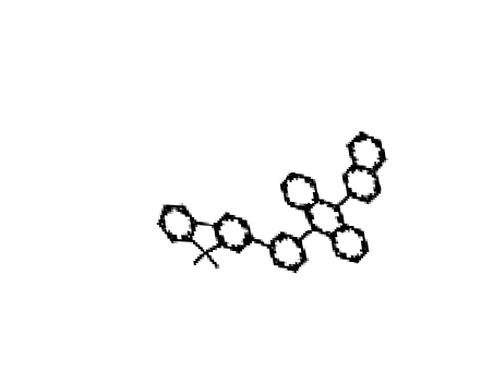 CC1(C)c2ccccc2-c2ccc(-c3cccc(-c4c5ccccc5c(-c5ccc6ccccc6c5)c5ccccc45)c3)cc21